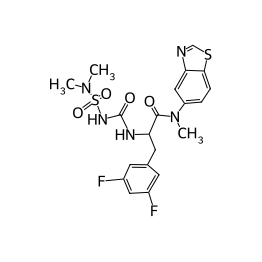 CN(C(=O)C(Cc1cc(F)cc(F)c1)NC(=O)NS(=O)(=O)N(C)C)c1ccc2scnc2c1